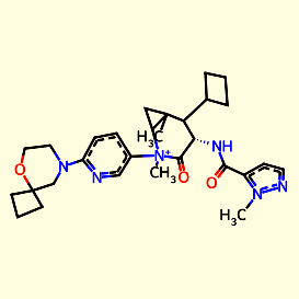 Cn1nccc1C(=O)N[C@@H]1C(=O)[N+](C)(c2ccc(N3CCOC4(CCC4)C3)nc2)C2CC2(C)C1C1CCC1